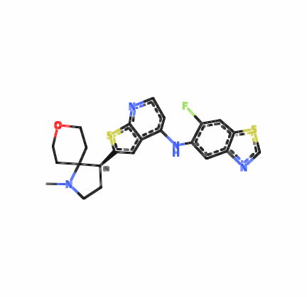 CN1CC[C@H](c2cc3c(Nc4cc5ncsc5cc4F)ccnc3s2)C12CCOCC2